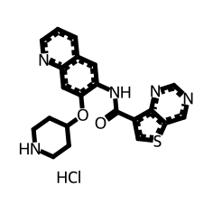 Cl.O=C(Nc1cc2cccnc2cc1OC1CCNCC1)c1csc2cncnc12